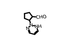 O=CC1CCCC1N1N=CC=CN1